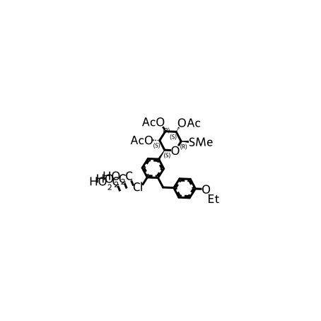 CC(=O)O.CC(=O)O.CC(=O)O.CCOc1ccc(Cc2cc([C@@H]3O[C@H](SC)[C@@H](OC(C)=O)[C@H](OC(C)=O)[C@H]3OC(C)=O)ccc2Cl)cc1